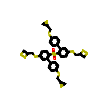 O=S(=O)(c1ccc(SCC2CSS2)cc1-c1ccc(SCC2CS2)cc1)c1ccc(SCC2CSS2)cc1-c1ccc(SCC2CS2)cc1